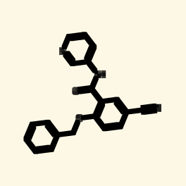 N#Cc1ccc(OCc2ccccc2)c(C(=O)Nc2cccnc2)c1